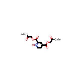 COC(=O)COC(=O)c1cc[n+]([O-])c(C(=O)OCC(=O)OC)c1